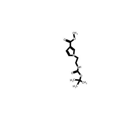 COC(=O)c1ccn(CCNC(=O)OC(C)(C)C)c1